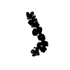 COC(=O)N[C@@H](C)C(=O)N1CCCC1c1ncc(-c2ccc(-c3ccc(-c4cnc(C5CCCN5C(=O)[C@@H](C)NC(=O)OC)[nH]4)cc3)c3c2C2CCC3CC2)[nH]1